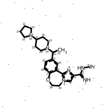 CC(C)NC(=N)c1cn2c(n1)-c1cc(C(C)N3CCC(N4CCCC4)CC3)ccc1OCC2